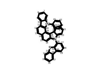 c1ccc(-n2c3ccccc3c3ccc4ccc5c(c6ccccc6n5-c5cccc6c5sc5ccccc56)c4c32)cc1